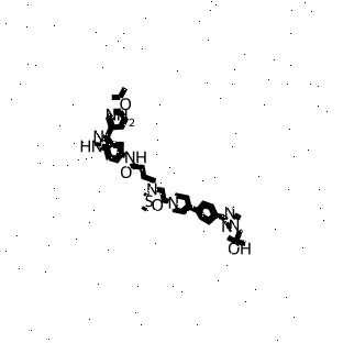 C=C(/C=C\C(=C/N)c1n[nH]c2ccc(NC(=O)CCCN(CSC)CC(=O)N3CC=C(c4ccc(-c5ncn(CC(C)(C)O)n5)cc4)CC3)cc12)OC(C)C